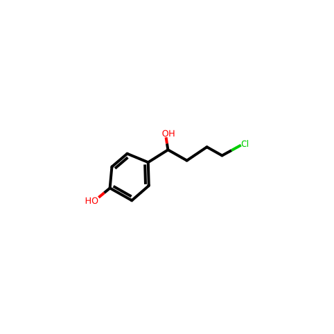 Oc1ccc(C(O)CCCCl)cc1